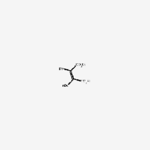 CCCCC(C(=O)OCC)=C(C(=O)OCC)C(C)C